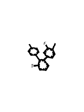 Cc1ccc(-c2c(F)cccc2-c2ccc(C)c(F)c2)cc1